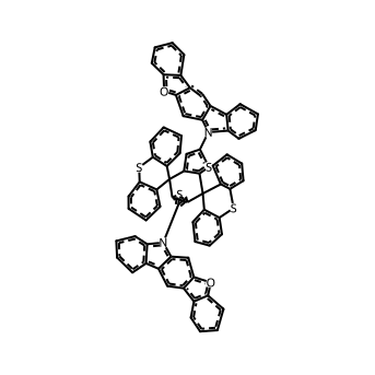 c1ccc2c(c1)Sc1ccccc1C21c2cc(-n3c4ccccc4c4cc5c(cc43)oc3ccccc35)sc2C2(c3ccccc3Sc3ccccc32)c2cc(-n3c4ccccc4c4cc5c(cc43)oc3ccccc35)sc21